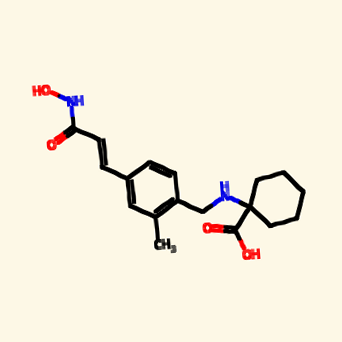 Cc1cc(/C=C/C(=O)NO)ccc1CNC1(C(=O)O)CCCCC1